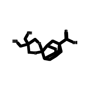 O=C(O)C12CC3CC(C1)C1(OCC(CO)(CO)CO1)C(C3)C2